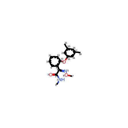 CNC(=O)C(=NOC)c1ccccc1Oc1cc(C)cc(C)c1